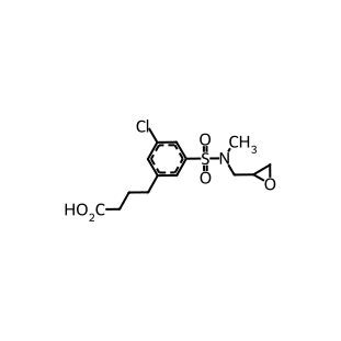 CN(CC1CO1)S(=O)(=O)c1cc(Cl)cc(CCCC(=O)O)c1